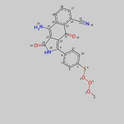 COOOSc1ccc(C2=C3C(=O)c4c(C#N)cccc4C(N)=C3C(=O)N2)cc1